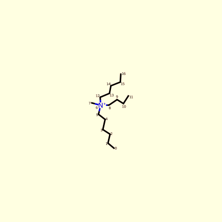 CCCCCC[N+](C)(CCCC)CCCCC